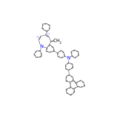 C=C1/C=C(c2ccccc2)\C=C/CN(c2ccccc2)c2ccc(-c3ccc(N(c4ccccc4)c4ccc(-c5ccc6c7ccccc7c7ccccc7c6c5)cc4)cc3)cc21